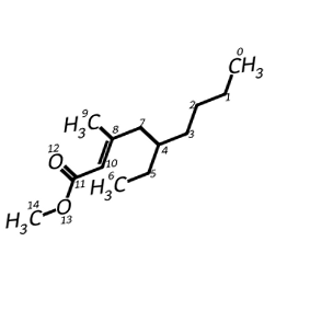 CCCCC(CC)CC(C)=CC(=O)OC